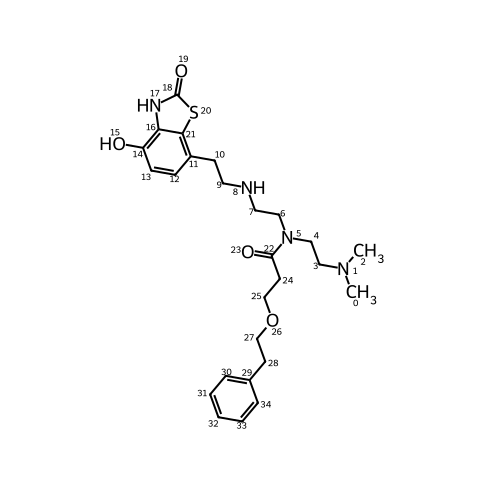 CN(C)CCN(CCNCCc1ccc(O)c2[nH]c(=O)sc12)C(=O)CCOCCc1ccccc1